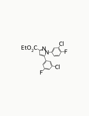 CCOC(=O)c1cc(-c2cc(F)cc(Cl)c2)n(-c2ccc(F)c(Cl)c2)n1